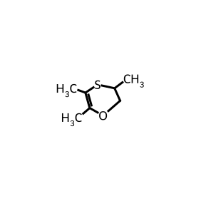 CC1=C(C)SC(C)CO1